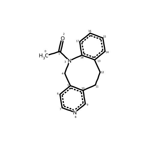 CC(=O)N1Cc2ccncc2CCc2ccccc21